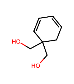 OCC1(CO)C=CC=CC1